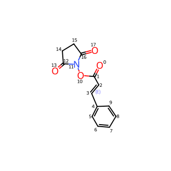 O=C(/C=C/c1ccccc1)ON1C(=O)CCC1=O